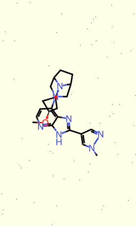 CO[C@H]1C[C@@H](N2C3CCC2CN(c2ccnc4[nH]c(-c5cnn(C)c5)nc24)C3)C1